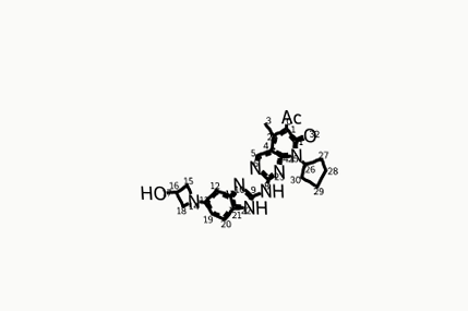 CC(=O)c1c(C)c2cnc(Nc3nc4cc(N5CC(O)C5)ccc4[nH]3)nc2n(C2CCCC2)c1=O